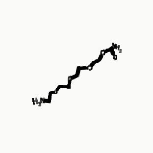 NCCOCCOCCOCCOC(N)=O